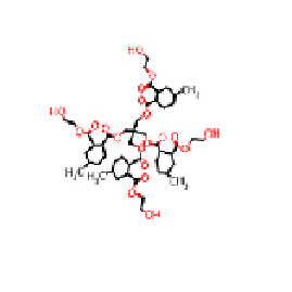 CC1CCC(C(=O)OCC(COC(=O)C2CCC(C)CC2C(=O)OCCO)(COC(=O)C2CCC(C)CC2C(=O)OCCO)COC(=O)C2CCC(C)CC2C(=O)OCCO)C(C(=O)OCCO)C1